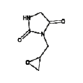 O=C1CNC(=O)N1CC1CO1